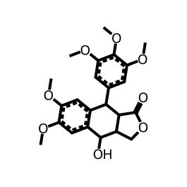 COc1cc2c(cc1OC)C(c1cc(OC)c(OC)c(OC)c1)C1C(=O)OCC1C2O